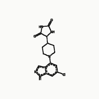 O=C1NC(=O)C(C2CCN(c3cc(Cl)cc4[nH]ncc34)CC2)N1